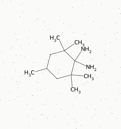 CC1CC(C)(C)C(N)(N)C(C)(C)C1